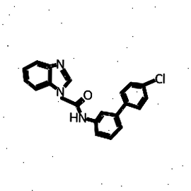 O=C(Cn1cnc2ccccc21)Nc1cccc(-c2ccc(Cl)cc2)c1